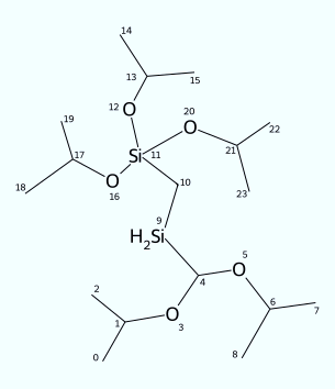 CC(C)OC(OC(C)C)[SiH2]C[Si](OC(C)C)(OC(C)C)OC(C)C